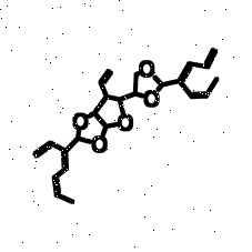 C=C/C=C(\C=C/C)C1OCC(C2OC3OC(/C(C=C)=C/C=C\C)OC3C2C=C)O1